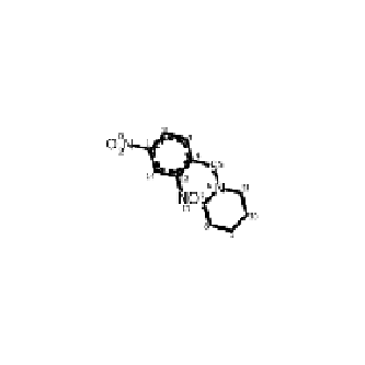 O=[N+]([O-])c1ccc(SN2CCCCC2)c([N+](=O)[O-])c1